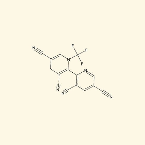 N#CC1=CN(C(F)(F)F)C(c2ncc(C#N)cc2C#N)=C(C#N)C1